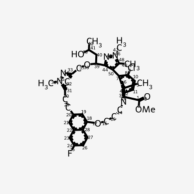 COC(=O)c1c(C)c2c3c(Cl)ccc2n1CCCOc1cc(cc2cc(F)ccc12)CCc1cc(nn1C)COC(CC(C)O)c1nn(C)c(C)c1-3